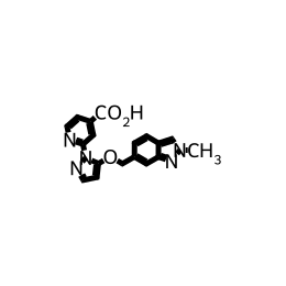 Cn1cc2ccc(COc3ccnn3-c3cc(C(=O)O)ccn3)cc2n1